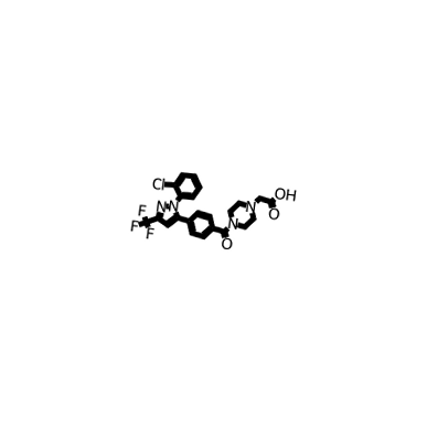 O=C(O)CN1CCN(C(=O)c2ccc(-c3cc(C(F)(F)F)nn3-c3ccccc3Cl)cc2)CC1